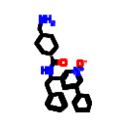 NC[C@H]1CC[C@H](C(=O)NC(Cc2ccccc2)c2cc(-c3ccccc3)c[n+]([O-])c2)CC1